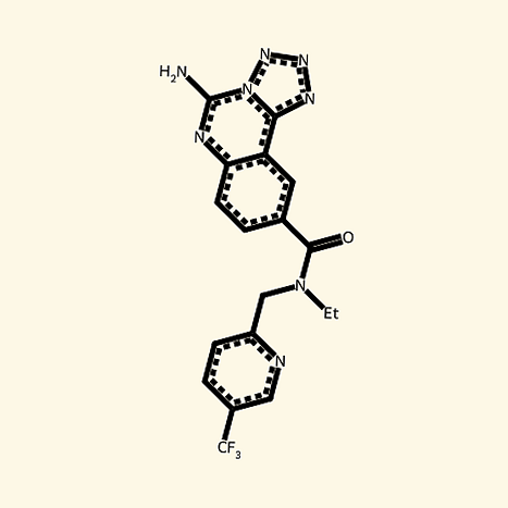 CCN(Cc1ccc(C(F)(F)F)cn1)C(=O)c1ccc2nc(N)n3nnnc3c2c1